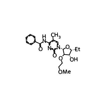 CC[C@H]1O[C@@H](n2cc(C)c(NC(=O)c3ccccc3)nc2=O)C(OCCOC)[C@H]1O